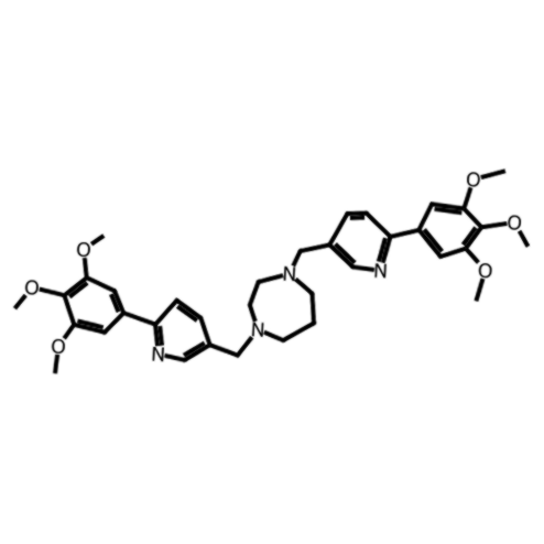 COc1cc(-c2ccc(CN3CCCN(Cc4ccc(-c5cc(OC)c(OC)c(OC)c5)nc4)CC3)cn2)cc(OC)c1OC